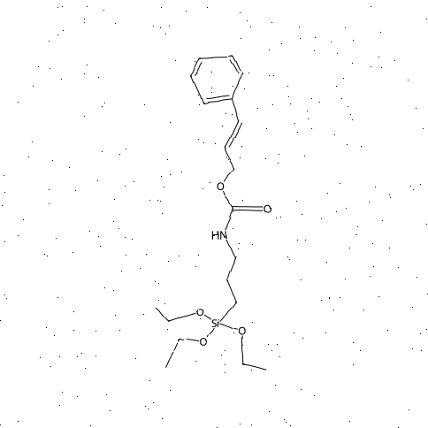 CCO[Si](CCCNC(=O)OC/C=C/c1ccccc1)(OCC)OCC